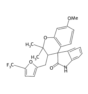 COc1ccc2c(c1)OC(C)(C)C(Cc1ccc(C(F)(F)F)o1)C21C(=O)Nc2ccccc21